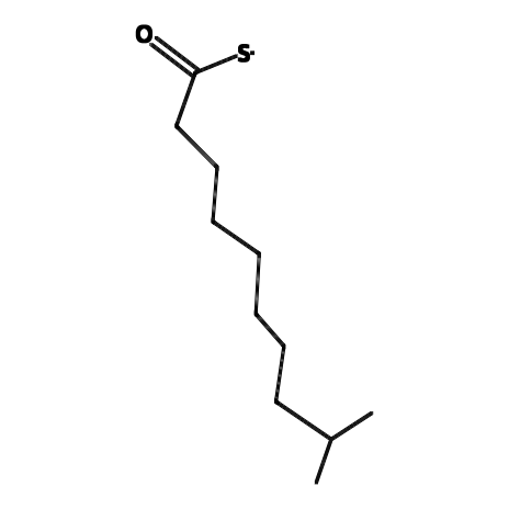 CC(C)CCCCCCCC(=O)[S]